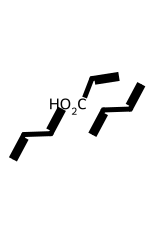 C=CC(=O)O.C=CC=C.C=CC=C